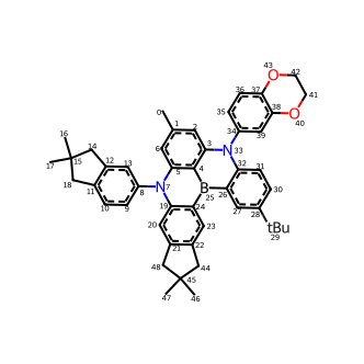 Cc1cc2c3c(c1)N(c1ccc4c(c1)CC(C)(C)C4)c1cc4c(cc1B3c1cc(C(C)(C)C)ccc1N2c1ccc2c(c1)OCCO2)CC(C)(C)C4